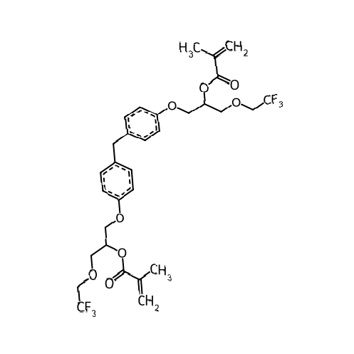 C=C(C)C(=O)OC(COCC(F)(F)F)COc1ccc(Cc2ccc(OCC(COCC(F)(F)F)OC(=O)C(=C)C)cc2)cc1